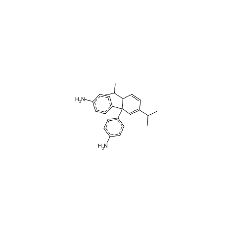 CC(C)C1=CC(c2ccc(N)cc2)(c2ccc(N)cc2)C(C(C)C)C=C1